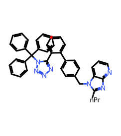 CCCc1nc2ncccc2n1Cc1ccc(-c2ccccc2-c2nnnn2C(c2ccccc2)(c2ccccc2)c2ccccc2)cc1